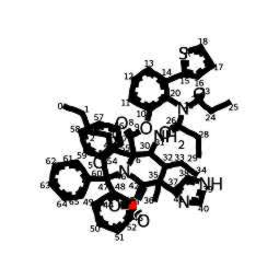 CCCCC(=O)C1(C(=O)Oc2cccc(-c3cccs3)c2N(C(=O)CC)C(=O)CC)C(N)C(CC)C(C)(c2c[nH]cn2)C(=S(=O)=O)N1C(c1ccccc1)(c1ccccc1)c1ccccc1